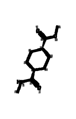 CNC(=O)[C@H]1CC[C@H](C(=O)OC)CC1